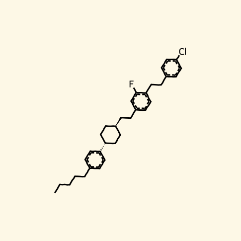 CCCCCc1ccc([C@H]2CC[C@H](CCc3ccc(CCc4ccc(Cl)cc4)c(F)c3)CC2)cc1